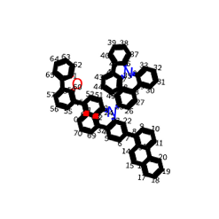 c1ccc(-c2ccc(-c3cccc4c3ccc3ccccc34)cc2N(c2ccc(-c3ccccc3-n3c4ccccc4c4ccccc43)cc2)c2ccc(-c3cccc4c3oc3ccccc34)cc2)cc1